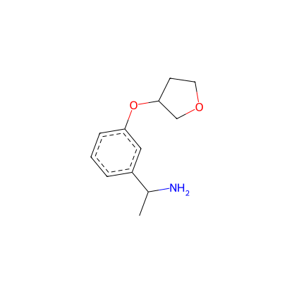 CC(N)c1cccc(OC2CCOC2)c1